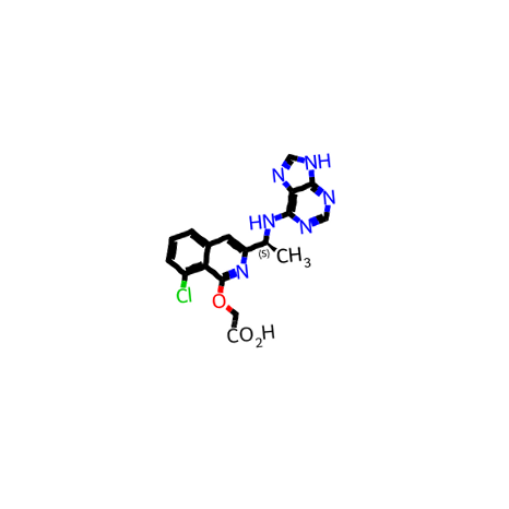 C[C@H](Nc1ncnc2[nH]cnc12)c1cc2cccc(Cl)c2c(OCC(=O)O)n1